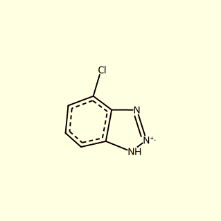 Clc1cccc2c1N=[N+]N2